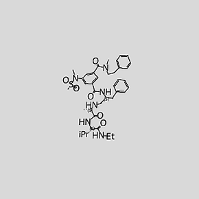 CCNC(=O)[C@@H](NC(=O)[C@H](C)NC[C@H](Cc1ccccc1)NC(=O)c1cc(C(=O)N(C)CCc2ccccc2)cc(N(C)S(C)(=O)=O)c1)C(C)C